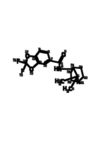 CC1(C)C(NC(=O)c2ccc3c(c2)OC(F)(F)O3)C2CCN1CC2